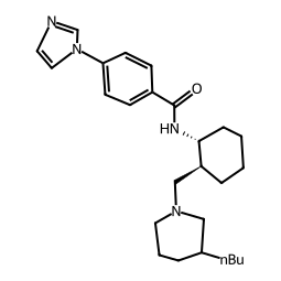 CCCCC1CCCN(C[C@@H]2CCCC[C@H]2NC(=O)c2ccc(-n3ccnc3)cc2)C1